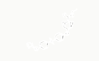 CCOC(=O)c1ncc(Oc2ccc(C(C)(C)c3ccc(OC4CCC4)cc3)cc2)cn1